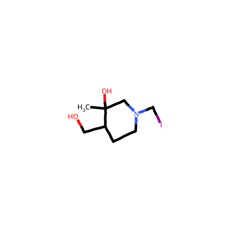 CC1(O)CN(CI)CCC1CO